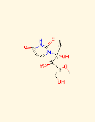 C#C[C@@](O)([C@H](O)[C@@H](CO)OC)n1ccc(=O)[nH]c1=O